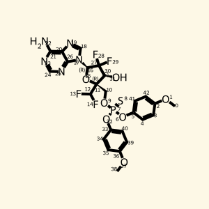 COc1ccc(OP(=S)(OC[C@@]2(C(F)F)O[C@@H](n3cnc4c(N)ncnc43)C(F)(F)[C@H]2O)Oc2ccc(OC)cc2)cc1